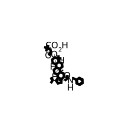 C=C(C)[C@@H]1CC[C@]2(CC(=O)NCc3ccccc3)CC[C@]3(C)[C@H](CC[C@@H]4[C@@]5(C)CC[C@H](OC(=O)CC(C)(C)C(=O)O)C(C)(C)[C@@H]5CC[C@]43C)[C@@H]12